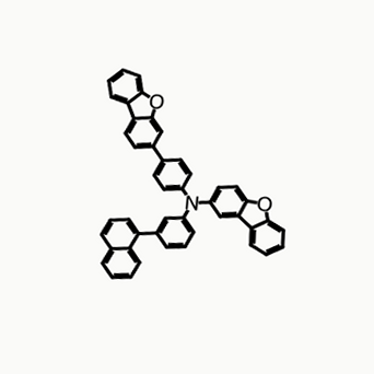 c1cc(-c2cccc3ccccc23)cc(N(c2ccc(-c3ccc4c(c3)oc3ccccc34)cc2)c2ccc3oc4ccccc4c3c2)c1